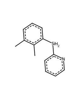 Cc1cccc([SiH2]c2ccccn2)c1C